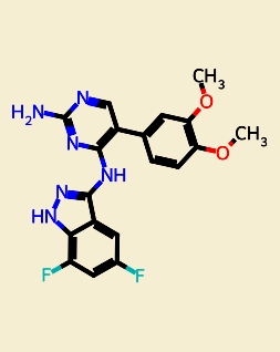 COc1ccc(-c2cnc(N)nc2Nc2n[nH]c3c(F)cc(F)cc23)cc1OC